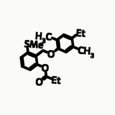 CCC(=O)Oc1cccc(SC)c1COc1cc(C)c(CC)cc1C